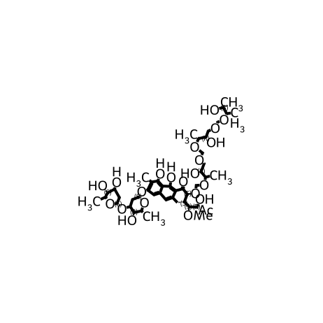 CO[C@@H]([C@@H]1Cc2cc3cc(O[C@H]4CC(O[C@H]5CC(O)[C@H](O)C(C)O5)[C@H](O)C(C)O4)c(C)c(O)c3c(O)c2C(=O)[C@H]1OCOC(C)[C@@H](O)COCOC(C)[C@H](O)COCOC(C)[C@H](C)O)[C@@H](O)C(C)=O